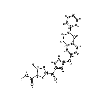 COC(=O)C1CN(C(=O)c2cnc(Oc3ccc4c(c3)CC[C@@H](c3ccccc3)O4)s2)CC1C